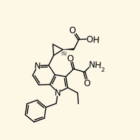 CCc1c(C(=O)C(N)=O)c2c(C3C[C@H]3CC(=O)O)nccc2n1Cc1ccccc1